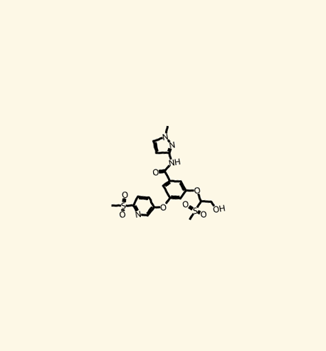 Cn1ccc(NC(=O)c2cc(Oc3ccc(S(C)(=O)=O)nc3)cc(OC(CO)S(C)(=O)=O)c2)n1